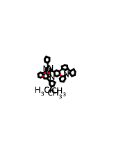 CC(C)(C)c1ccc2c(c1)c1ccccc1n2-c1ccc(-c2cccc3c4ccccc4n(-c4ccccc4)c23)cc1-c1nc(-c2ccccc2)nc(-c2ccccc2)n1